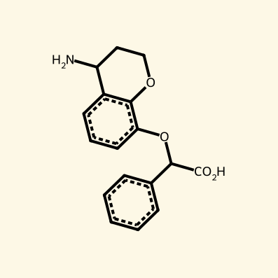 NC1CCOc2c(OC(C(=O)O)c3ccccc3)cccc21